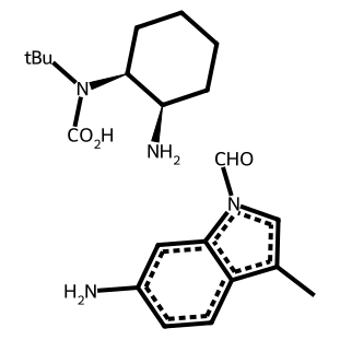 CC(C)(C)N(C(=O)O)[C@H]1CCCC[C@H]1N.Cc1cn(C=O)c2cc(N)ccc12